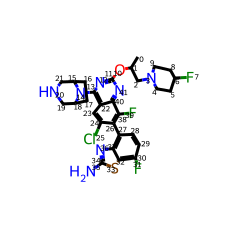 CC(CN1CCC(F)CC1)Oc1nc(N2C3CCC2CNC3)c2cc(Cl)c(-c3ccc(F)c4sc(N)nc34)c(F)c2n1